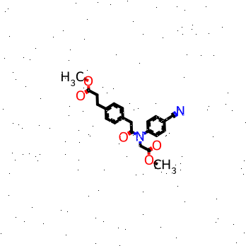 COC(=O)CCc1ccc(CC(=O)N(CC(=O)OC)c2ccc(C#N)cc2)cc1